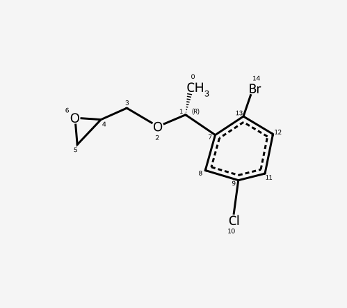 C[C@@H](OCC1CO1)c1cc(Cl)ccc1Br